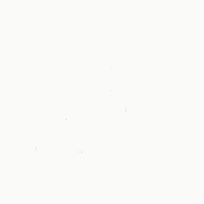 CCCCCCCCC[CH](C)[Sn].Cl.Cl